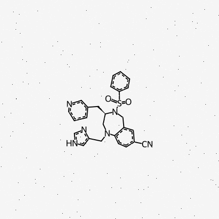 N#Cc1ccc2c(c1)CN(S(=O)(=O)c1ccccc1)[C@H](Cc1cccnc1)CN2Cc1c[nH]cn1